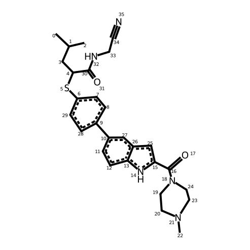 CC(C)CC(Sc1ccc(-c2ccc3[nH]c(C(=O)N4CCN(C)CC4)cc3c2)cc1)C(=O)NCC#N